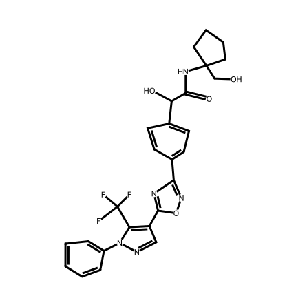 O=C(NC1(CO)CCCC1)C(O)c1ccc(-c2noc(-c3cnn(-c4ccccc4)c3C(F)(F)F)n2)cc1